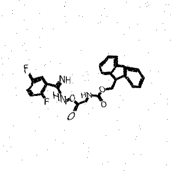 N=C(NOC(=O)CNC(=O)OCC1c2ccccc2-c2ccccc21)c1cc(F)ccc1F